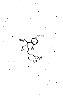 CC(=O)Nc1ccc(O)c(C(C(=O)O)N(CC#N)CCN(CC(=O)O)CC(=O)O)c1